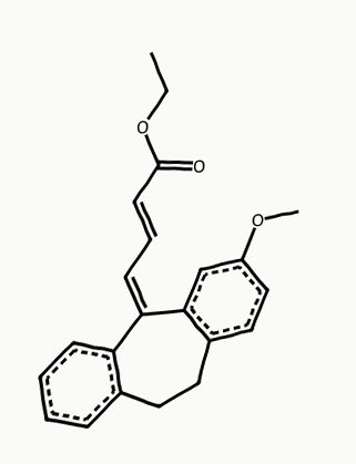 CCOC(=O)C=CC=C1c2ccccc2CCc2ccc(OC)cc21